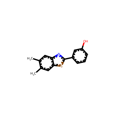 Cc1cc2nc(-c3cc[c]c(O)c3)sc2cc1C